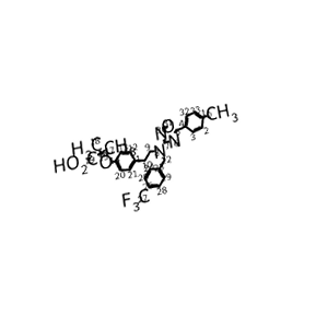 Cc1ccc(-c2nc(N(CCc3ccc(OC(C)(C)C(=O)O)cc3)Cc3ccc(C(F)(F)F)cc3)no2)cc1